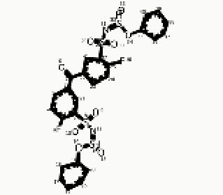 O=C(c1ccc(F)c(S(=O)(=O)/N=[SH](=O)\Oc2ccccc2)c1)c1ccc(F)c(S(=O)(=O)/N=[SH](=O)\Oc2ccccc2)c1